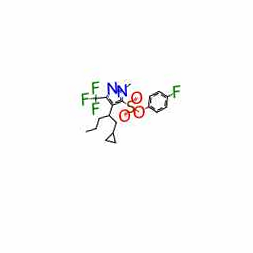 CCCC(CC1CC1)c1c(C(F)(F)F)nn(C)c1S(=O)(=O)Oc1ccc(F)cc1